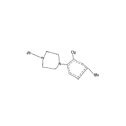 CC(C)N1CCN(c2ccc(C(C)(C)C)cc2C#N)CC1